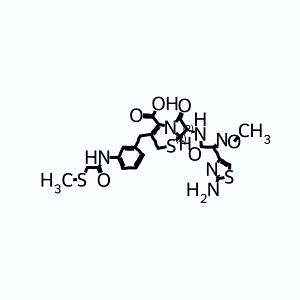 CON=C(C(=O)N[C@@H]1C(=O)N2C(C(=O)O)=C(Cc3cccc(NC(=O)CSC)c3)CS[C@H]12)c1csc(N)n1